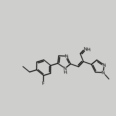 CCc1ccc(-c2cnc(/C=C(\C=N)c3cnn(C)c3)[nH]2)cc1F